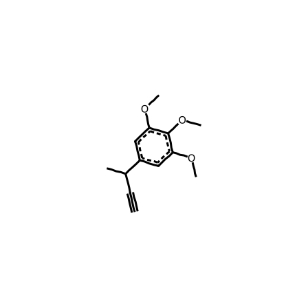 C#CC(C)c1cc(OC)c(OC)c(OC)c1